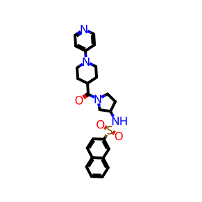 O=C(C1CCN(c2ccncc2)CC1)N1CCC(NS(=O)(=O)c2ccc3ccccc3c2)C1